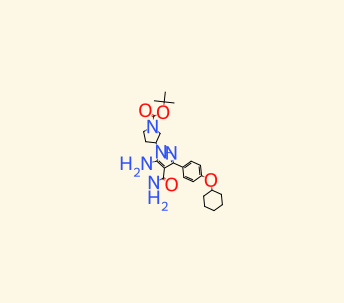 CC(C)(C)OC(=O)N1CCC(n2nc(-c3ccc(OC4CCCCC4)cc3)c(C(N)=O)c2N)C1